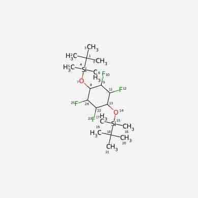 CC(C)(C)[Si](C)(C)OC1C(F)C(F)C(O[Si](C)(C)C(C)(C)C)C(F)C1F